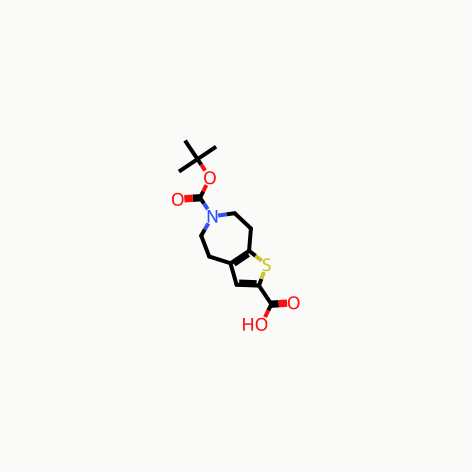 CC(C)(C)OC(=O)N1CCc2cc(C(=O)O)sc2CC1